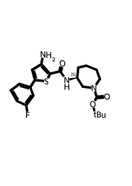 CC(C)(C)OC(=O)N1CCCC[C@H](NC(=O)c2sc(-c3cccc(F)c3)cc2N)C1